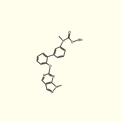 CN(C(=O)OC(C)(C)C)c1cccc(-c2ccccc2Oc2ncc3cnn(C)c3n2)c1